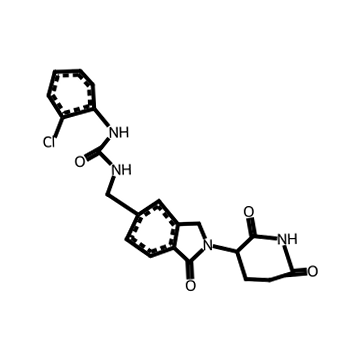 O=C1CCC(N2Cc3cc(CNC(=O)Nc4ccccc4Cl)ccc3C2=O)C(=O)N1